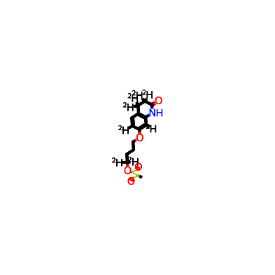 [2H]c1cc2c(c([2H])c1OCCCC([2H])([2H])OS(C)(=O)=O)NC(=O)C([2H])([2H])C2([2H])[2H]